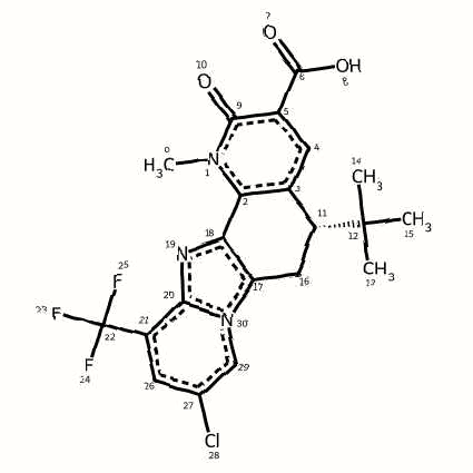 Cn1c2c(cc(C(=O)O)c1=O)[C@H](C(C)(C)C)Cc1c-2nc2c(C(F)(F)F)cc(Cl)cn12